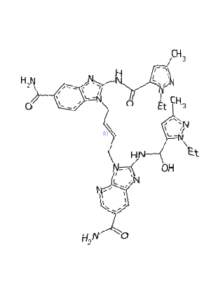 CCn1nc(C)cc1C(=O)Nc1nc2cc(C(N)=O)ccc2n1C/C=C/Cn1c(NC(O)c2cc(C)nn2CC)nc2cc(C(N)=O)cnc21